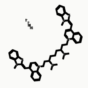 CN1C(=Cc2cc[n+](CCC(CCCC(CC[n+]3ccc(C=C4Sc5ccccc5N4C)c4ccccc43)N(C)C)N(C)C)c3ccccc23)Sc2ccccc21.I.I.[I-].[I-]